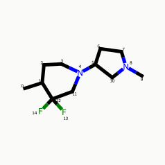 CC1CCN(C2CCN(C)C2)CC1(F)F